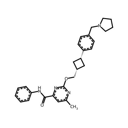 Cc1cc(C(=O)Nc2ccccc2)nc(OC[C@H]2C[C@@H](c3ccc(CN4CCCC4)cc3)C2)n1